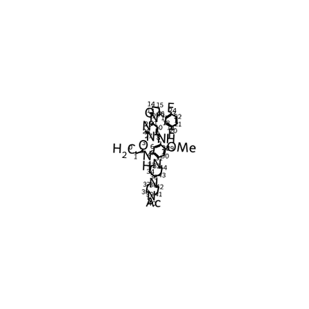 C=CC(=O)Nc1cc(Nc2cc(N3OCC[C@@H]3c3cc(F)ccc3F)ncn2)c(OC)cc1N1CCC(N2CCN(C(C)=O)CC2)CC1